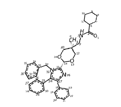 C[C@]1(CNC(=O)C2CCCCC2)CO[C@H](c2nc(-c3ccccc3)c(-c3ccccc3)n2Cc2ccccc2)OC1